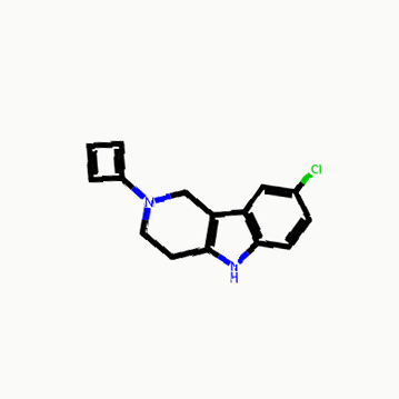 Clc1ccc2[nH]c3c(c2c1)CN(C1=CC=C1)CC3